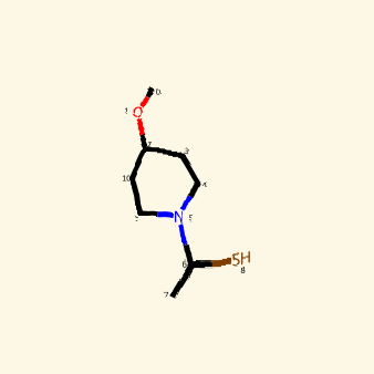 COC1CCN(C(C)S)CC1